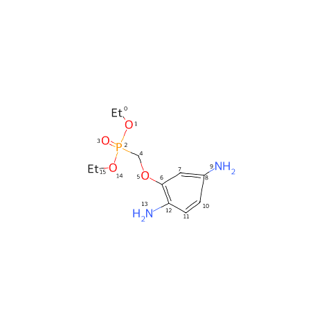 CCOP(=O)(COc1cc(N)ccc1N)OCC